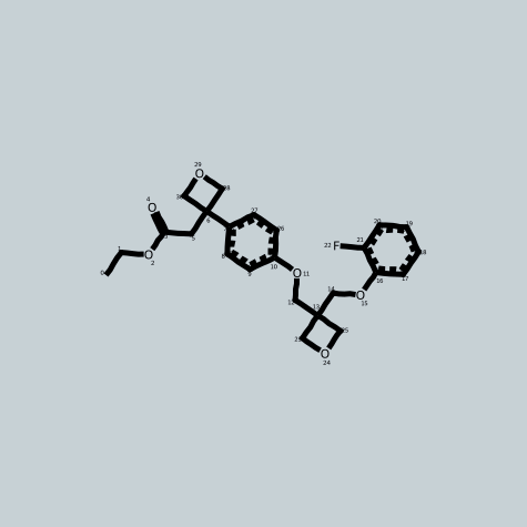 CCOC(=O)CC1(c2ccc(OCC3(COc4ccccc4F)COC3)cc2)COC1